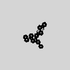 c1ccc(-c2ccc3c(c2)c2ccc4c(c5ccccc5n4-c4cccc5ccccc45)c2n3-c2ccc3sc4c(-c5cccc6c5sc5ccccc56)cccc4c3c2)cc1